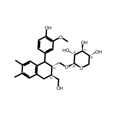 COc1cc(C2c3cc(C)c(C)cc3C[C@H](CO)[C@H]2CO[C@@H]2OC[C@@H](O)[C@H](O)[C@H]2O)ccc1O